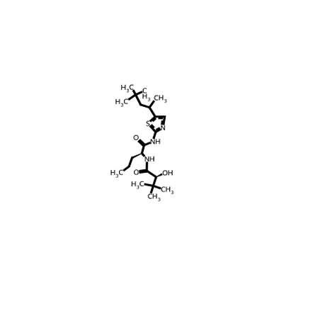 CCC[C@H](NC(=O)[C@@H](O)C(C)(C)C)C(=O)Nc1ncc(C(C)CC(C)(C)C)s1